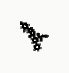 CC(C)CNC(=O)[C@@H]1CN(C2CCCCC2)CC[C@H]1NC(=O)c1cc(-c2ccc(F)cc2F)on1